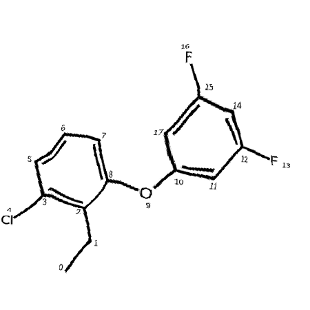 CCc1c(Cl)cccc1Oc1cc(F)cc(F)c1